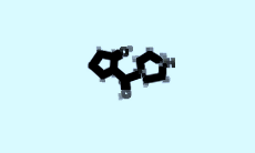 O=C1CCCC1C(=O)N1CCNCC1